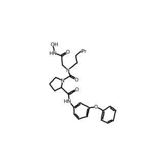 CC(C)CCN(CC(=O)NO)C(=O)N1CCCC1C(=O)Nc1cccc(Oc2ccccc2)c1